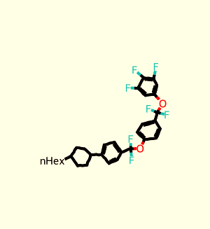 CCCCCCC1CCC(c2ccc(C(F)(F)Oc3ccc(C(F)(F)Oc4cc(F)c(F)c(F)c4)cc3)cc2)CC1